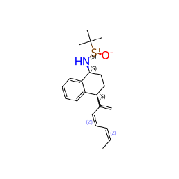 C=C(/C=C\C=C/C)[C@@H]1CC[C@H](N[S@+]([O-])C(C)(C)C)c2ccccc21